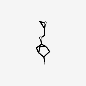 IC1CC2CC1CC2OCC1CO1